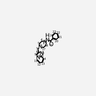 O=C(NN1CCN(Cc2cn3ccccc3n2)CC1)c1ccccc1